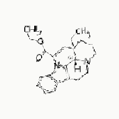 CCOC(=O)C1=CC2(CC)CCCN3CCc4c(n1c1ccccc41)[C@@H]32